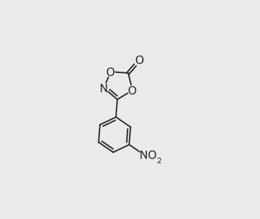 O=c1onc(-c2cccc([N+](=O)[O-])c2)o1